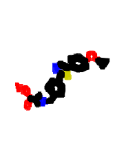 O=C(O)C1CN(Cc2ccc(-c3ncc(-c4ccc(OC5CC5)cc4)s3)cc2)C1